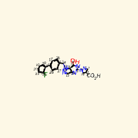 O=C(O)c1cnn(-c2nc(O)c3c(cnn3Cc3ccc(-c4ccccc4F)cc3)n2)c1